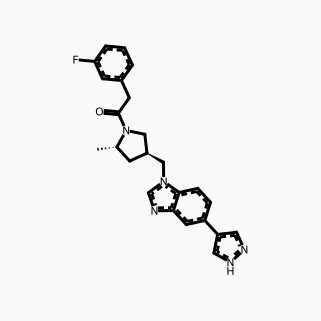 C[C@H]1C[C@H](Cn2cnc3cc(-c4cn[nH]c4)ccc32)CN1C(=O)Cc1cccc(F)c1